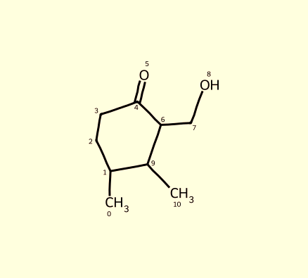 CC1CCC(=O)C(CO)C1C